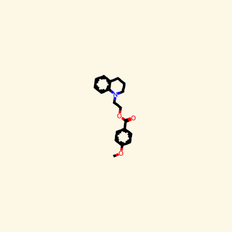 COc1ccc(C(=O)OCCN2CCCc3ccccc32)cc1